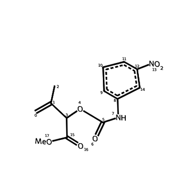 C=C(C)C(OC(=O)Nc1cccc([N+](=O)[O-])c1)C(=O)OC